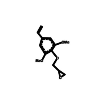 C=Cc1cc(OC)c(OCC2CO2)c(OC)c1